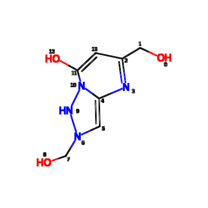 OCC1=NC2=CN(CO)NN2C(O)=C1